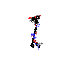 CNC(=O)[C@H](Cc1ncc[nH]1)NC(=O)[C@@H](CC(=O)CNC(=O)CNC(=O)CCCCCNC(=O)Nc1ccc(-c2c3ccc(=O)cc-3oc3cc(O)ccc23)c(C(=O)O)c1)Cc1ccccc1